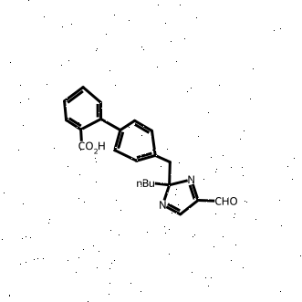 CCCCC1(Cc2ccc(-c3ccccc3C(=O)O)cc2)N=CC(C=O)=N1